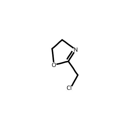 ClCC1=NCCO1